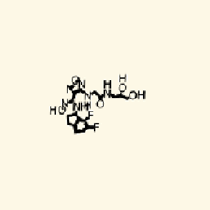 O=C(CNc1nonc1/C(=N/O)NC1CCc2ccc(F)c(F)c21)NC[C@@H](O)CO